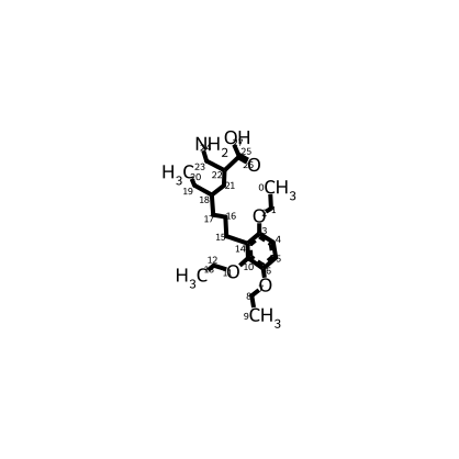 CCOc1ccc(OCC)c(OCC)c1CCCC(CC)CC(CN)C(=O)O